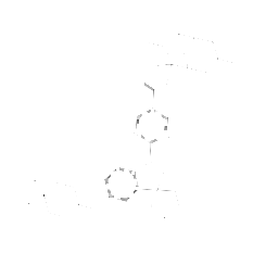 CC1CC2CC(C)C(NC(=O)c3cnc(N4CC5(CCCC5)c5cc(OC6CCC7(CC6)COC7)ccc54)nc3C(F)(F)F)(C(=O)O)C(C1)C2